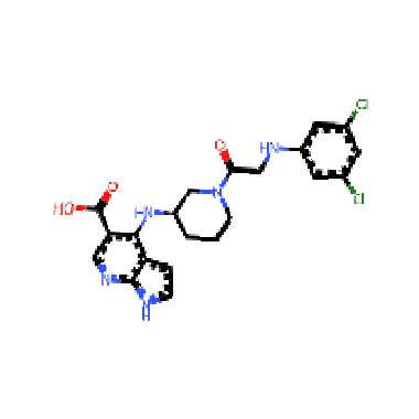 O=C(O)c1cnc2[nH]ccc2c1N[C@@H]1CCCN(C(=O)CNc2cc(Cl)cc(Cl)c2)C1